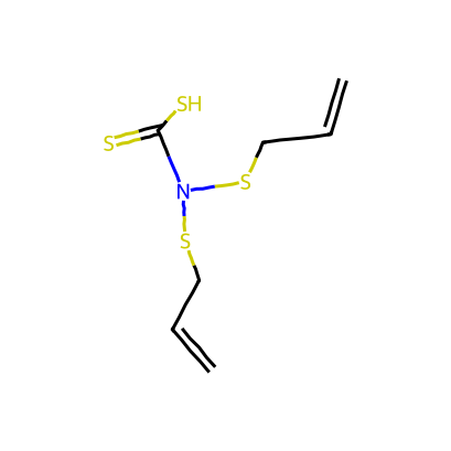 C=CCSN(SCC=C)C(=S)S